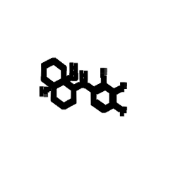 O[C@]12CCCC[C@@H]1CCCC2Nc1ccc(F)c(F)c1F